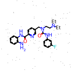 CCN(CC)CCN(Cc1ccc(C(=O)Nc2ccccc2N)nc1)C(=O)Nc1cccc(F)c1